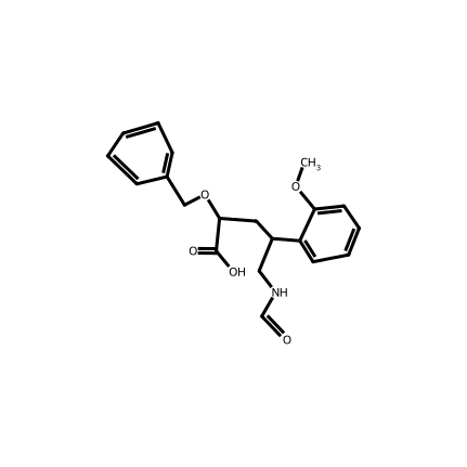 COc1ccccc1C(CNC=O)CC(OCc1ccccc1)C(=O)O